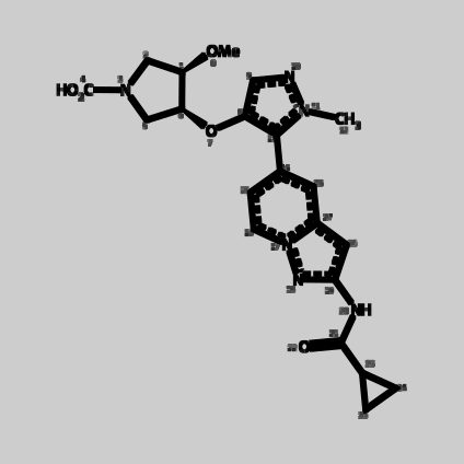 CO[C@@H]1CN(C(=O)O)C[C@@H]1Oc1cnn(C)c1-c1ccn2nc(NC(=O)C3CC3)cc2c1